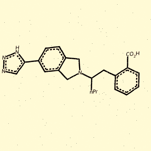 CCCC(Cc1ccccc1C(=O)O)N1Cc2ccc(-c3cnn[nH]3)cc2C1